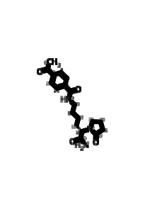 CC(=O)c1ccc(C(=O)NCCCC[C@@H](C(N)=O)N2CCCC2=O)cc1